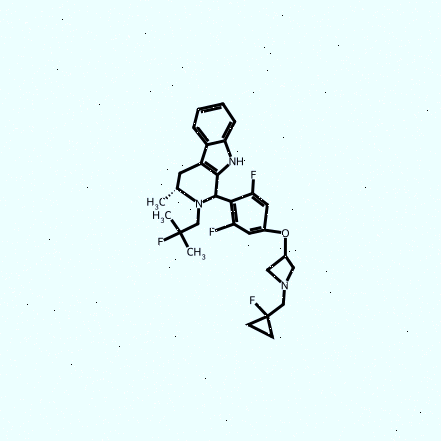 C[C@@H]1Cc2c([nH]c3ccccc23)C(c2c(F)cc(OC3CN(CC4(F)CC4)C3)cc2F)N1CC(C)(C)F